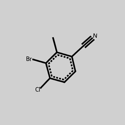 Cc1c(C#N)ccc(Cl)c1Br